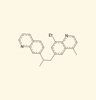 CCc1cc(CC(C)c2ccc3cccnc3c2)cc2c(C)ccnc12